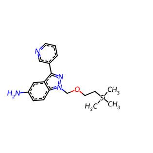 C[Si](C)(C)CCOCn1nc(-c2cccnc2)c2cc(N)ccc21